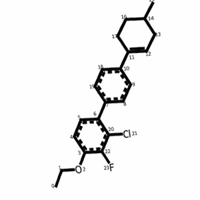 CCOc1ccc(-c2ccc(C3=CCC(C)CC3)cc2)c(Cl)c1F